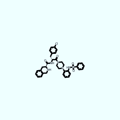 O=C(N[C@H](Cc1ccc(Cl)cc1)C(=O)N1CCN(c2ccccc2NS(=O)(=O)c2ccccc2)CC1)[C@@H]1Cc2ccccc2CN1